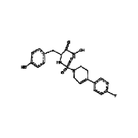 O=C(NO)C(Cc1ccc(O)cc1)NS(=O)(=O)N1CC=C(c2ccc(F)cc2)CC1